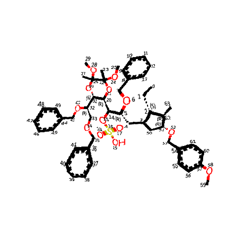 CC[C@H]1C(C[C@@H](OCc2ccccc2)C(OS(=O)(=O)O)[C@@H]2OC(C)(OC)C(C)(OC)O[C@H]2[C@@H](COCc2ccccc2)OCc2ccccc2)C[C@@H](OCc2ccc(OC)cc2)[C@@H]1C